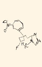 Cn1cnnc1CC1(c2cccc([N+](=O)[O-])c2)CC(F)C1